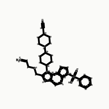 C=CCOCc1nc2cnc3c(ccn3S(=O)(=O)c3ccccc3)c2n1C1CCC(N2CCC(C#N)CC2)CC1